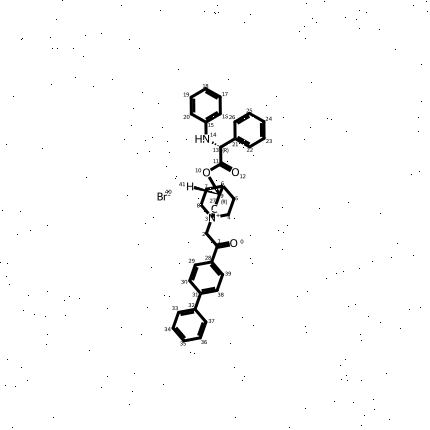 O=C(C[N+]12CCC(CC1)[C@@H](OC(=O)[C@H](Nc1ccccc1)c1ccccc1)C2)c1ccc(-c2ccccc2)cc1.[Br-]